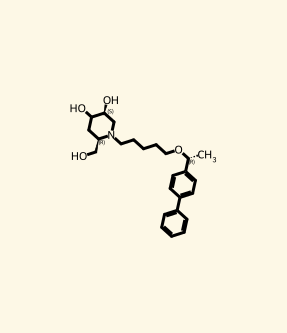 C[C@@H](OCCCCCN1C[C@H](O)C(O)C[C@@H]1CO)c1ccc(-c2ccccc2)cc1